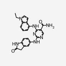 CCn1ccc2c(Nc3nc(Nc4ccc5c(c4)CC(=O)N5)ncc3C(N)=O)cccc21